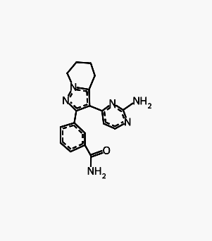 NC(=O)c1cccc(-c2nn3c(c2-c2ccnc(N)n2)CCCC3)c1